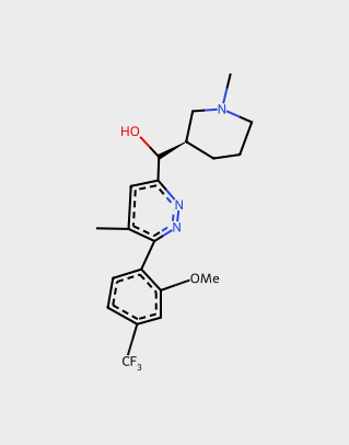 COc1cc(C(F)(F)F)ccc1-c1nnc(C(O)[C@@H]2CCCN(C)C2)cc1C